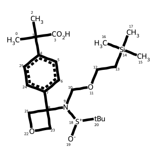 CC(C)(C(=O)O)c1ccc(C2(N(COCC[Si](C)(C)C)[S+]([O-])C(C)(C)C)COC2)cc1